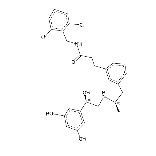 C[C@H](Cc1cccc(CCC(=O)NCc2c(Cl)cccc2Cl)c1)NC[C@H](O)c1cc(O)cc(O)c1